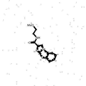 COCCNC(=O)c1cn2c(n1)sc1ccccc12